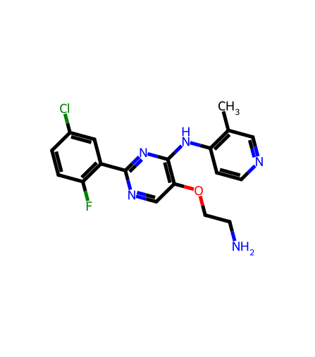 Cc1cnccc1Nc1nc(-c2cc(Cl)ccc2F)ncc1OCCN